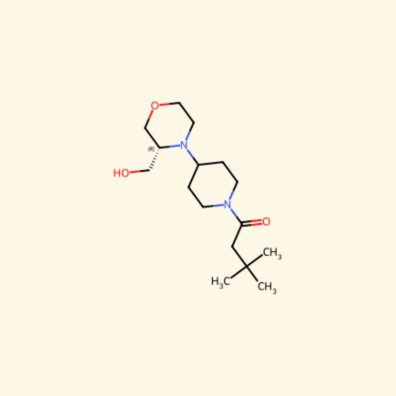 CC(C)(C)CC(=O)N1CCC(N2CCOC[C@H]2CO)CC1